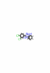 Clc1ccc(C2=NN[C@@]3(CC4CCC3CC4)N2)cc1Cl